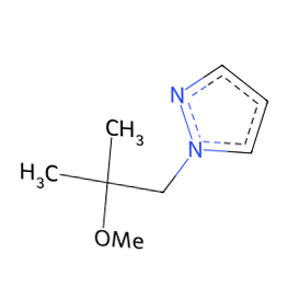 COC(C)(C)Cn1cccn1